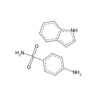 Nc1ccc(S(N)(=O)=O)cc1.c1ccc2[nH]ccc2c1